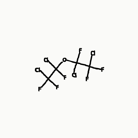 FC(F)(Cl)C(F)(Cl)OC(F)(Cl)C(F)(F)Cl